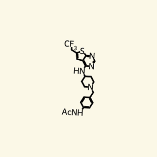 CC(=O)Nc1ccc(CN2CCC(Nc3ncnc4sc(CC(F)(F)F)cc34)CC2)cc1